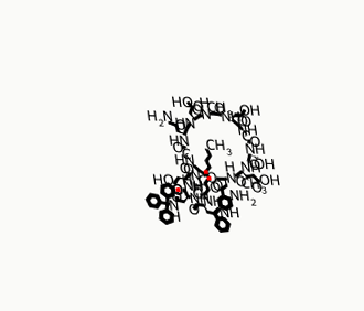 CCCCCCCCCC(=O)N[C@@H](Cc1c[nH]c2ccccc12)C(=O)N[C@@H](CC(=O)NC(c1ccccc1)(c1ccccc1)c1ccccc1)C(=O)N[C@@H](CC(=O)O)C(=O)N[C@@H]1C(=O)NCC(=O)N[C@@H](CCCN)C(=O)N[C@@H](CC(=O)O)C(=O)N[C@H](C)C(=O)N[C@@H](CC(=O)O)C(=O)NCC(=O)N[C@H](CO)C(=O)N[C@@H](C(C)CC(=O)O)C(=O)N[C@@H](CC(=O)c2ccccc2N)C(=O)O[C@@H]1C